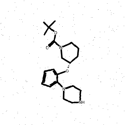 CC(C)(C)OC(=O)N1CCC[C@H](Oc2ccccc2N2CCNCC2)C1